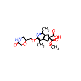 COC(=O)C1(C(=O)O)Cc2c(C)nc(OCC3CNC(=O)CO3)c(C)c2C1